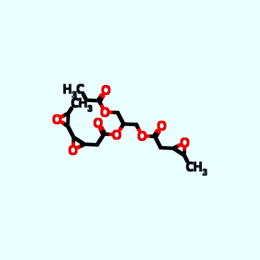 CCC(=O)OCC(COC(=O)CC1OC1C)OC(=O)CC1OC1C1OC1C